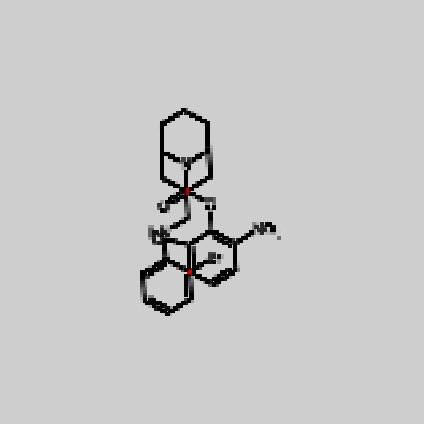 O=C(Oc1c(Cl)cccc1[N+](=O)[O-])N1C2CCCC1CC(CNc1ccccc1Br)C2